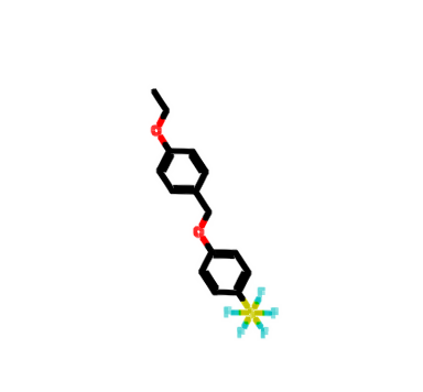 CCOc1ccc(COc2ccc(S(F)(F)(F)(F)F)cc2)cc1